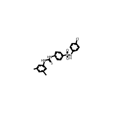 Cc1cc(C)cc(NC(=S)Nc2ccc(S(=O)(=O)Nc3ccc(Cl)cc3)cc2)c1